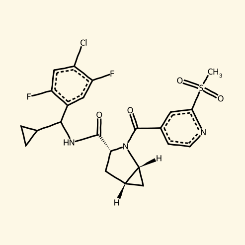 CS(=O)(=O)c1cc(C(=O)N2[C@@H](C(=O)NC(c3cc(F)c(Cl)cc3F)C3CC3)C[C@H]3C[C@H]32)ccn1